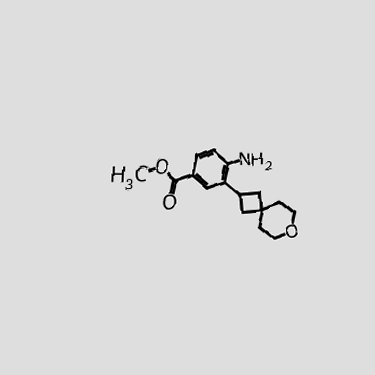 COC(=O)c1ccc(N)c(C2CC3(CCOCC3)C2)c1